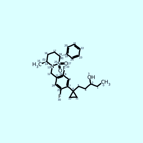 CCC(O)CCC1(c2cc(F)c(CN3[C@@H](C)CC[C@H](c4ccccc4)S3(=O)=O)cc2F)CC1